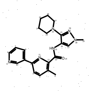 Cc1ccc(-c2cccnc2)nc1C(=O)Nc1cn(C)nc1N1CCCCC1